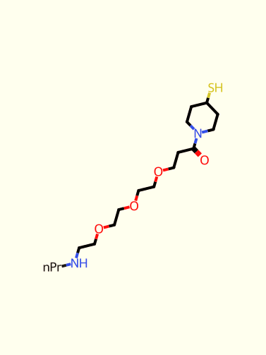 CCCNCCOCCOCCOCCC(=O)N1CCC(S)CC1